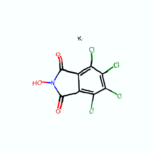 O=C1c2c(Cl)c(Cl)c(Cl)c(Cl)c2C(=O)N1O.[K]